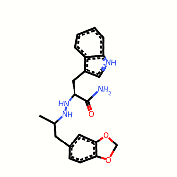 CC(Cc1ccc2c(c1)OCO2)NN[C@@H](Cc1c[nH]c2ccccc12)C(N)=O